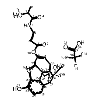 CC(O)C(=O)NCCC(=O)OC1=CC[C@@]2(O)[C@H]3Cc4ccc(O)c5c4[C@@]2(CCN3C)[C@H]1O5.O=C(O)C(F)(F)F